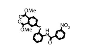 COC(=O)c1ccc(Sc2ccccc2NC(=O)c2cccc([N+](=O)[O-])c2)cc1C(=O)OC